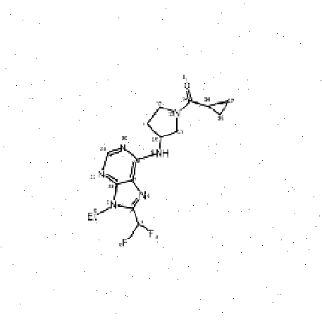 CCn1c(C(F)F)nc2c(NC3CCN(C(=O)C4CC4)C3)ncnc21